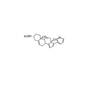 CC(=O)N[C@@H]1CC[C@@]2(C)C(=CCC3C4=CC=C(c5cccnc5)[C@@]4(C)CCC32)C1